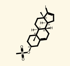 C[C@]12CC[C@H](OS(C)(=O)=O)CC1=CC[C@@H]1[C@@H]2CC[C@]2(C)C(I)=CC[C@@H]12